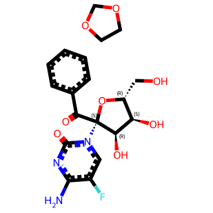 C1COCO1.Nc1nc(=O)n([C@]2(C(=O)c3ccccc3)O[C@H](CO)[C@@H](O)[C@H]2O)cc1F